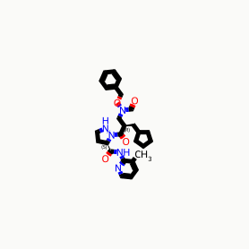 Cc1cccnc1NC(=O)[C@@H]1CCNN1C(=O)[C@H](CC1CCCC1)CN(C=O)OCc1ccccc1